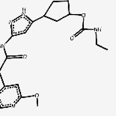 CCNC(=O)OC1CCC(c2cc(NC(=O)Cc3ccnc(OC)c3)n[nH]2)C1